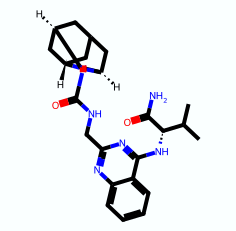 CC(C)[C@H](Nc1nc(CNC(=O)N2[C@H]3CC4C[C@H](C3)C[C@H]2C4)nc2ccccc12)C(N)=O